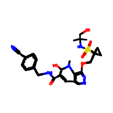 CN1c2c(cnnc2OCC2(S(=O)(=O)NC(C)(C)CO)CC2)C=C(C(=O)NCc2ccc(C#N)cc2)C1O